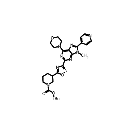 Cn1c(-c2ccncc2)nc2c(N3CCOCC3)nc(-c3noc(C4CCCN(C(=O)OC(C)(C)C)C4)n3)nc21